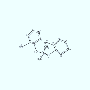 CCCc1ccccc1[O][Sn]([CH3])([CH3])[O]c1ccccc1CCC